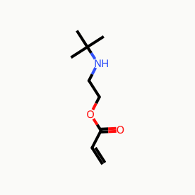 C=CC(=O)OCCNC(C)(C)C